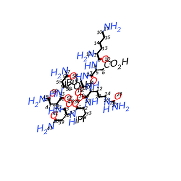 CC[C@H](C)[C@H](NC(=O)[C@H](CC(=O)O)NC(=O)[C@@H](N)CCCCN)C(=O)N[C@@H](CCCNC(N)=O)C(=O)N[C@@H](CC(C)C)C(=O)N[C@@H](CC(N)=O)C(=O)N[C@@H](CC(N)=O)C(=O)N[C@@H](CC(N)=O)C(=O)O